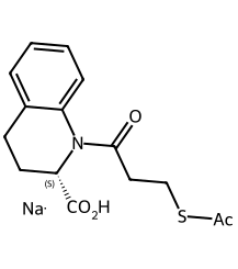 CC(=O)SCCC(=O)N1c2ccccc2CC[C@H]1C(=O)O.[Na]